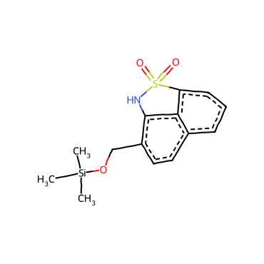 C[Si](C)(C)OCc1ccc2cccc3c2c1NS3(=O)=O